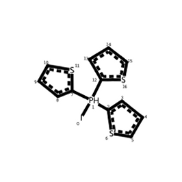 I[PH](c1cccs1)(c1cccs1)c1cccs1